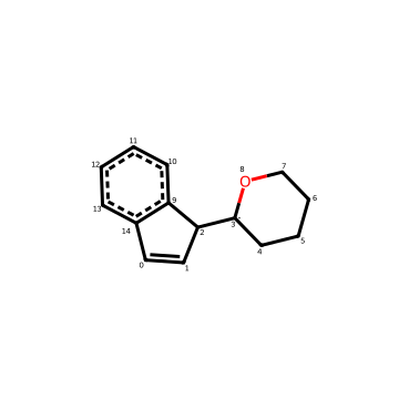 C1=CC([C]2CCCCO2)c2ccccc21